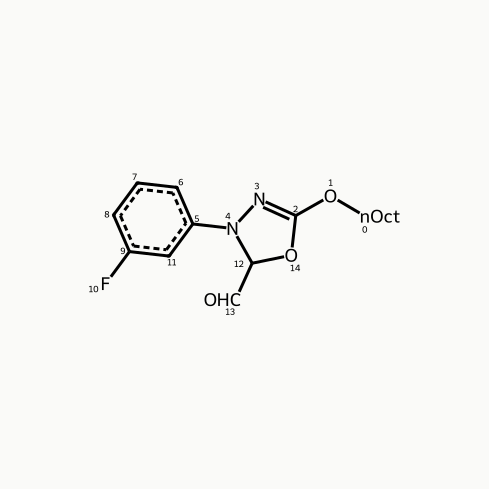 CCCCCCCCOC1=NN(c2cccc(F)c2)C(C=O)O1